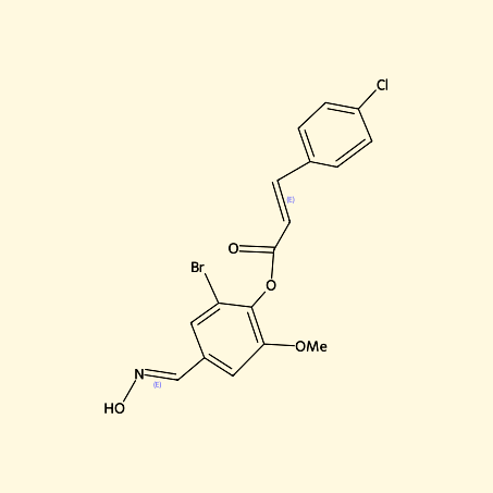 COc1cc(/C=N/O)cc(Br)c1OC(=O)/C=C/c1ccc(Cl)cc1